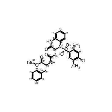 Cc1cc(S(=O)(=O)N2c3ccccc3NC(=O)[C@H]2CC(=O)N[C@H](Cc2ccccc2)C(=O)OC(C)(C)C)c(C)cc1Cl